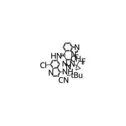 Cn1cnc2cccc([C@H](Nc3cc(Cl)c4ncc(C#N)c(NCC(C)(C)C)c4c3)c3cn(C4(C(F)F)CC4)nn3)c21